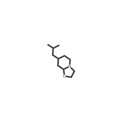 CC(C)CC1CCN2CCOC2C1